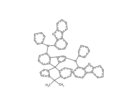 CC1(C)c2ccccc2C2(c3cc(N(c4ccccc4)c4cccc5c4oc4ccccc45)ccc3-c3c(N(c4ccccc4)c4cccc5c4oc4ccccc45)cccc32)c2ccccc21